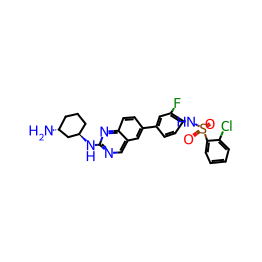 N[C@@H]1CCC[C@@H](Nc2ncc3cc(-c4ccc(NS(=O)(=O)c5ccccc5Cl)c(F)c4)ccc3n2)C1